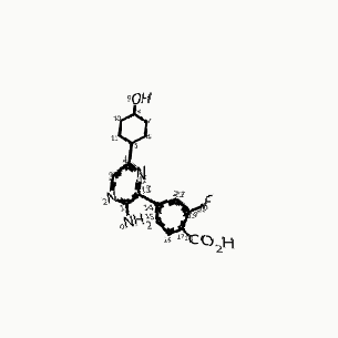 Nc1ncc(C2CCC(O)CC2)nc1-c1ccc(C(=O)O)c(F)c1